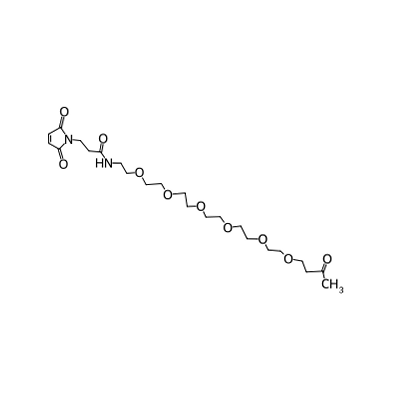 CC(=O)CCOCCOCCOCCOCCOCCOCCNC(=O)CCN1C(=O)C=CC1=O